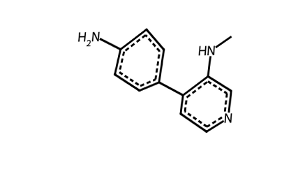 CNc1cnccc1-c1ccc(N)cc1